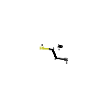 CCCCS.[Au]